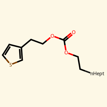 CCCCCCCCCOC(=O)OCCc1ccsc1